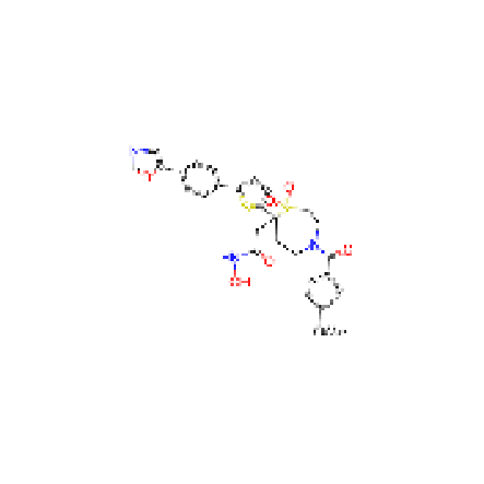 COc1ccc(C(=O)N2CCC(CC(=O)NO)(c3ccc(-c4ccc(-c5cnco5)cc4)s3)S(=O)(=O)CC2)cc1